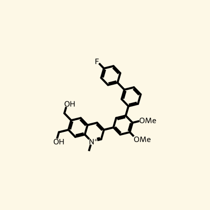 COc1cc(-c2cc3cc(CO)c(CO)cc3[n+](C)c2)cc(-c2cccc(-c3ccc(F)cc3)c2)c1OC